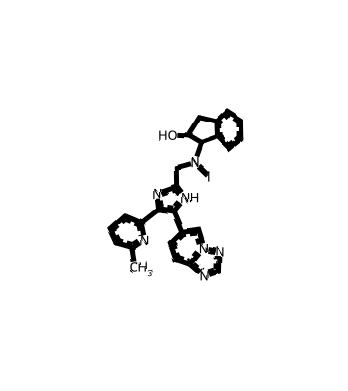 Cc1cccc(-c2nc(CN(I)C3c4ccccc4CC3O)[nH]c2-c2ccc3ncnn3c2)n1